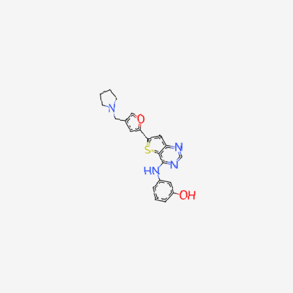 Oc1cccc(Nc2ncnc3cc(-c4cc(CN5CCCC5)co4)sc23)c1